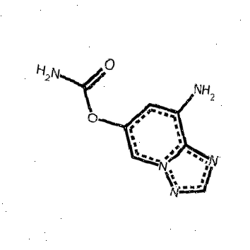 NC(=O)Oc1cc(N)c2ncnn2c1